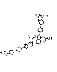 COc1ccc(-c2ccc(-c3cc4ccn(C(c5cncc6c5cc(-c5ccc(-c7ccc(N(C)C)nc7)cc5)n6C[C@@H](C)O)C(O)CF)cc-4n3)cc2)cc1